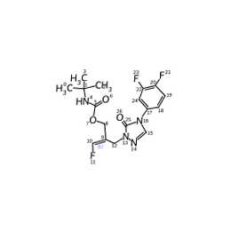 CC(C)(C)NC(=O)OC/C(=C/F)Cn1ncn(-c2ccc(F)c(F)c2)c1=O